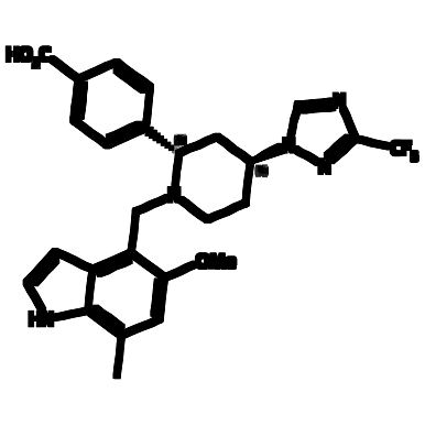 COc1cc(C)c2[nH]ccc2c1CN1CC[C@H](n2cnc(C(F)(F)F)n2)C[C@H]1c1ccc(C(=O)O)cc1